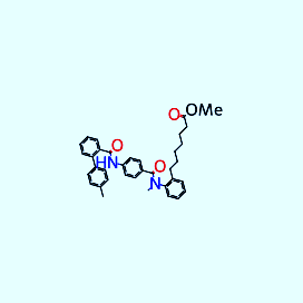 COC(=O)CCCCCCc1ccccc1N(C)C(=O)c1ccc(NC(=O)c2ccccc2-c2ccc(C)cc2)cc1